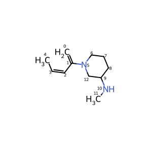 C=C(/C=C\C)N1CCCC(NC)C1